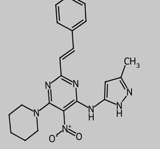 Cc1cc(Nc2nc(C=Cc3ccccc3)nc(N3CCCCC3)c2[N+](=O)[O-])[nH]n1